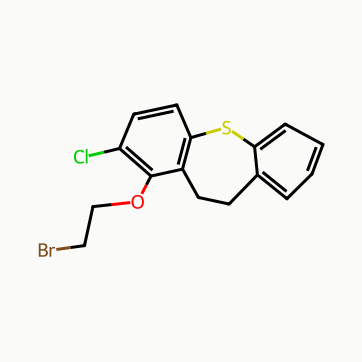 Clc1ccc2c(c1OCCBr)CCc1ccccc1S2